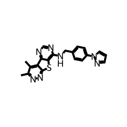 Cc1nnc2sc3c(NCc4ccc(-n5cccn5)cc4)ncnc3c2c1C